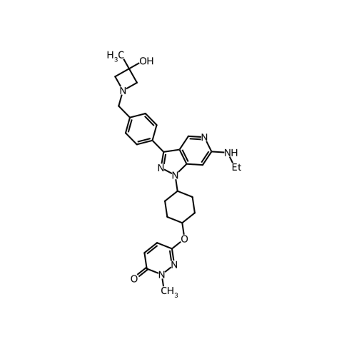 CCNc1cc2c(cn1)c(-c1ccc(CN3CC(C)(O)C3)cc1)nn2C1CCC(Oc2ccc(=O)n(C)n2)CC1